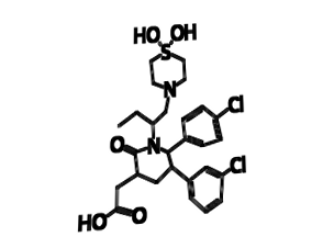 CCC(CN1CCS(O)(O)CC1)N1C(=O)C(CC(=O)O)CC(c2cccc(Cl)c2)C1c1ccc(Cl)cc1